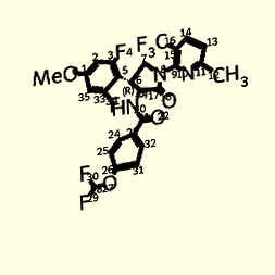 COc1cc(F)c([C@@H]2CN(c3nc(C)ccc3C(F)(F)F)C(=O)[C@H]2NC(=O)c2ccc(OC(F)F)cc2)c(F)c1